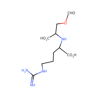 N=C(N)NCCCC(NC(COC=O)C(=O)O)C(=O)O